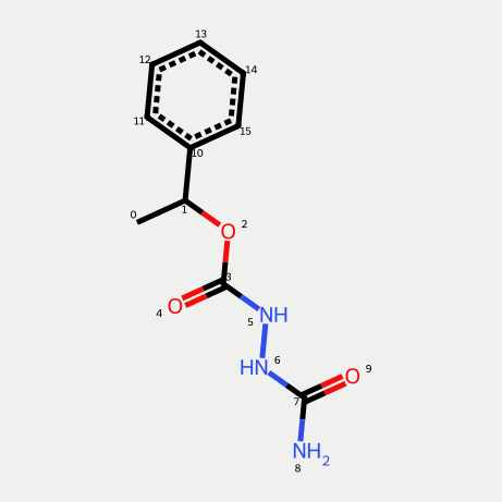 CC(OC(=O)NNC(N)=O)c1ccccc1